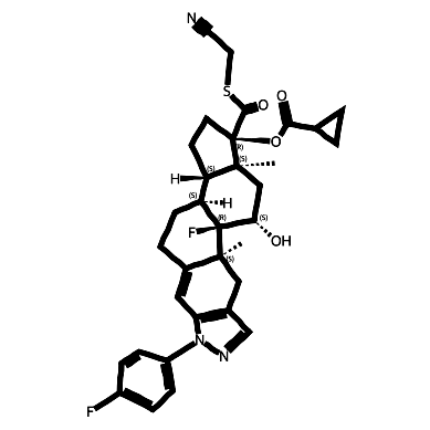 C[C@]12Cc3cnn(-c4ccc(F)cc4)c3C=C1CC[C@H]1[C@@H]3CC[C@](OC(=O)C4CC4)(C(=O)SCC#N)[C@@]3(C)C[C@H](O)[C@@]12F